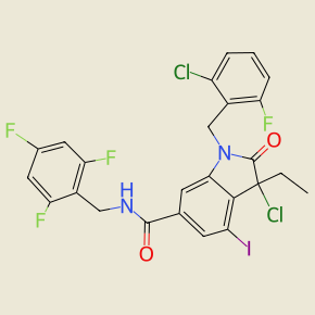 CCC1(Cl)C(=O)N(Cc2c(F)cccc2Cl)c2cc(C(=O)NCc3c(F)cc(F)cc3F)cc(I)c21